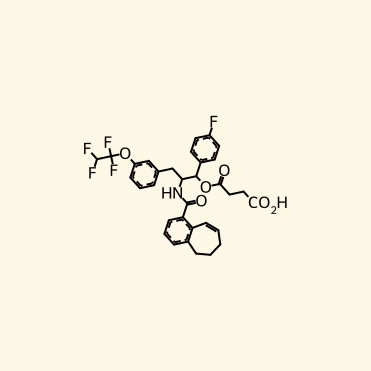 O=C(O)CCC(=O)OC(c1ccc(F)cc1)C(Cc1cccc(OC(F)(F)C(F)F)c1)NC(=O)c1cccc2c1C=CCCC2